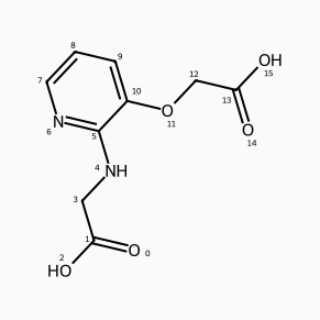 O=C(O)CNc1ncccc1OCC(=O)O